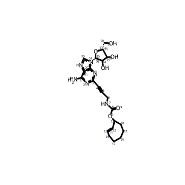 Nc1nc(C#CCNC(=O)OC2/C=C/CCCCC2)nc2c1ncn2[C@@H]1O[C@H](CO)C(O)C1O